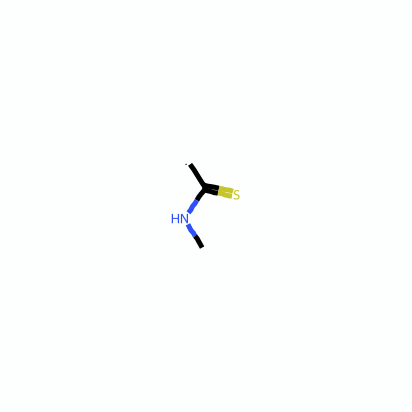 [CH2]C(=S)NC